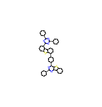 c1ccc(-c2nc(-c3ccccc3)nc(-c3cccc4sc5c(-c6ccc(-c7nc(-c8ccccc8)nc8c7sc7ccccc78)cc6)cccc5c34)n2)cc1